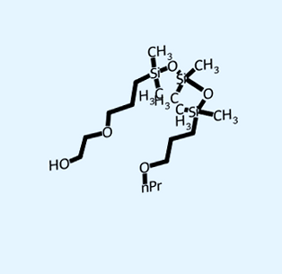 CCCOCCC[Si](C)(C)O[Si](C)(C)O[Si](C)(C)CCCOCCO